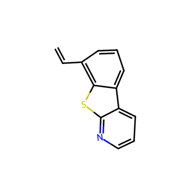 C=Cc1cccc2c1sc1ncccc12